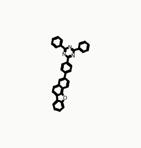 c1ccc(-c2nc(-c3ccccc3)nc(-c3ccc(-c4ccc5c(ccc6c7ccccc7oc56)c4)cc3)n2)cc1